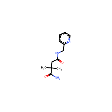 CC(C)([CH]C(=O)NCc1ccccn1)C(N)=O